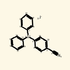 N#Cc1ccc([S+](c2ccccc2)c2ccccc2)cc1.[I-]